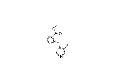 COC(=O)c1cccn1Cc1ccncc1F